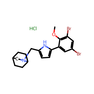 COc1c(Br)cc(Br)cc1-c1ccc(CN2CC3CCC2CC3)[nH]1.Cl